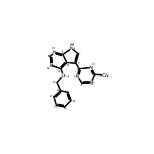 N#Cc1ncnc(-c2c[nH]c3ncnc(OCc4ccccc4)c23)n1